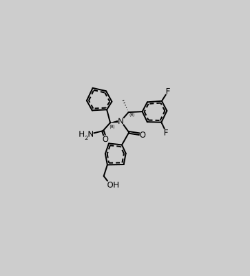 C[C@H](c1cc(F)cc(F)c1)N(C(=O)c1ccc(CO)cc1)[C@@H](C(N)=O)c1ccccc1